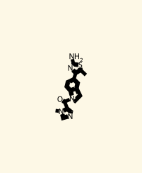 Cc1sc(N)nc1-c1ccc2c(ccn2C(=O)c2cncn2C)c1